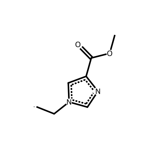 [CH2]Cn1cnc(C(=O)OC)c1